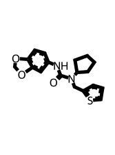 O=C(Nc1ccc2c(c1)OCO2)N(Cc1cccs1)C1CCCC1